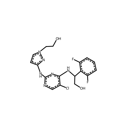 OCCn1ccc(Nc2ncc(Cl)c(NC(CO)c3c(F)cccc3F)n2)n1